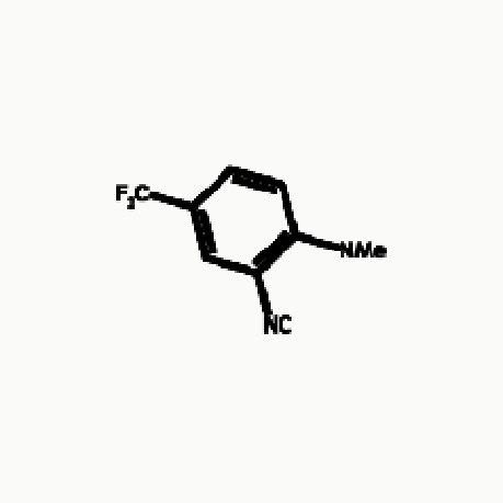 [C-]#[N+]c1cc(C(F)(F)F)ccc1NC